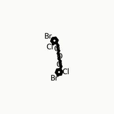 Clc1cc(Br)ccc1COCCOCCOCc1ccc(Br)cc1Cl